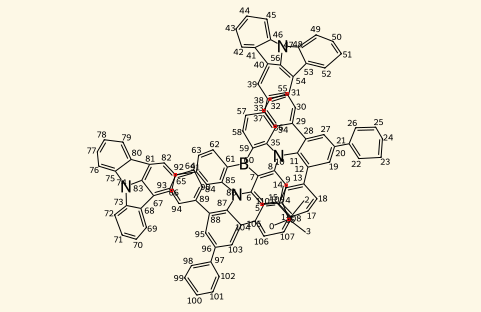 CC(C)(C)c1cc2c3c(c1)N(c1c(-c4ccccc4)cc(-c4ccccc4)cc1-c1ccccc1)c1cc(-c4cc5c6ccccc6n6c7ccccc7c(c4)c56)ccc1B3c1ccc(-c3cc4c5ccccc5n5c6ccccc6c(c3)c45)cc1N2c1c(-c2ccccc2)cc(-c2ccccc2)cc1-c1ccccc1